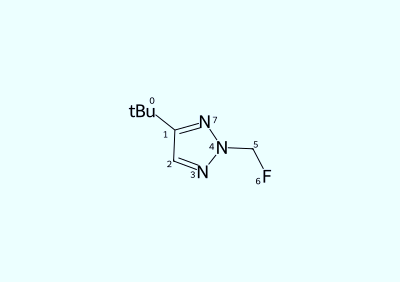 CC(C)(C)c1cnn(CF)n1